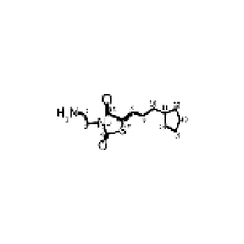 NCCN1C(=O)SC(=CCCC2CCCC2)C1=O